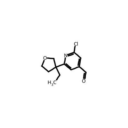 CCC1(c2cc(C=O)cc(Cl)n2)CCOC1